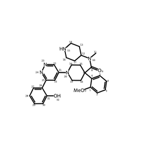 COc1ccccc1C1(C(=O)N(C)C2CCNCC2)CCN(c2cnnc(-c3ccccc3O)c2)CC1